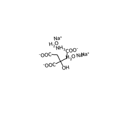 N.O.O.O=C([O-])CC(O)(CC(=O)[O-])C(=O)[O-].[Na+].[Na+].[Na+]